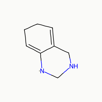 C1=C2CNC[N]C2=CCC1